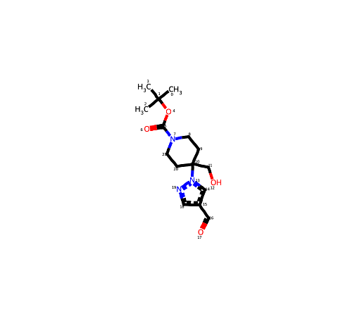 CC(C)(C)OC(=O)N1CCC(CO)(n2cc(C=O)cn2)CC1